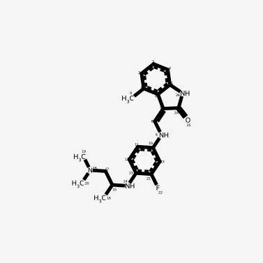 Cc1cccc2c1C(=CNc1ccc(NC(C)CN(C)C)c(F)c1)C(=O)N2